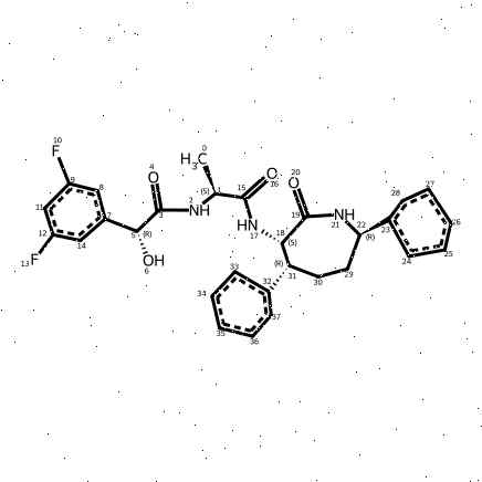 C[C@H](NC(=O)[C@H](O)c1cc(F)cc(F)c1)C(=O)N[C@@H]1C(=O)N[C@@H](c2ccccc2)CC[C@@H]1c1ccccc1